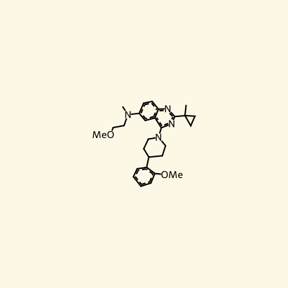 COCCN(C)c1ccc2nc(C3(C)CC3)nc(N3CCC(c4ccccc4OC)CC3)c2c1